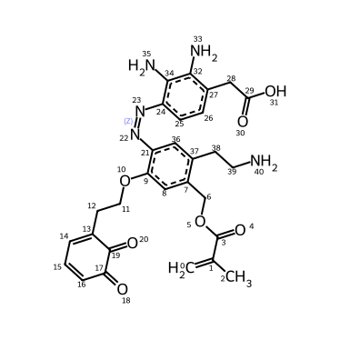 C=C(C)C(=O)OCc1cc(OCCC2=CC=CC(=O)C2=O)c(/N=N\c2ccc(CC(=O)O)c(N)c2N)cc1CCN